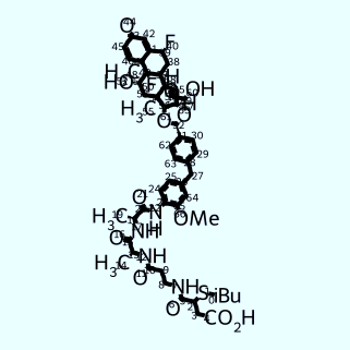 CCC(C)SC(CC(=O)O)C(=O)NCCC(=O)N[C@@H](C)C(=O)N[C@@H](C)C(=O)Nc1ccc(Cc2ccc([C@@H]3O[C@@H]4CC5[C@@H]6C[C@H](F)C7=CC(=O)C=C[C@]7(C)[C@@]6(F)[C@@H](O)C[C@]5(C)[C@]4(C(=O)CO)O3)cc2)cc1OC